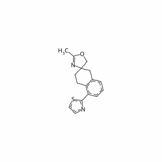 CC1=NC2(CCc3c(cccc3-c3nccs3)C2)CO1